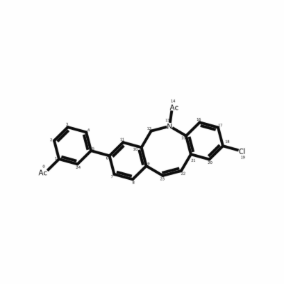 CC(=O)c1cccc(-c2ccc3c(c2)CN(C(C)=O)c2ccc(Cl)cc2/C=C\3)c1